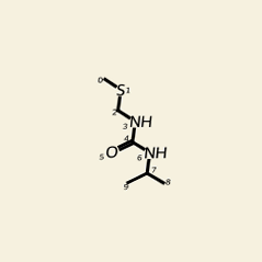 CSCNC(=O)NC(C)C